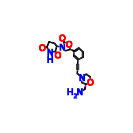 NC[C@H]1CN(CC#Cc2cccc([C@H]3CN(C4CCC(=O)NC4=O)C(=O)O3)c2)CCO1